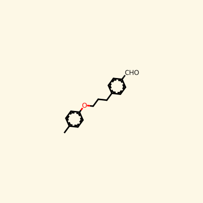 Cc1ccc(OCCCc2ccc(C=O)cc2)cc1